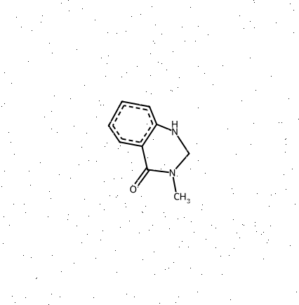 CN1CNc2ccccc2C1=O